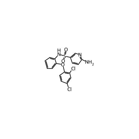 Nc1ccc(S(=O)(=O)Nc2ccccc2Oc2ccc(Cl)cc2Cl)cn1